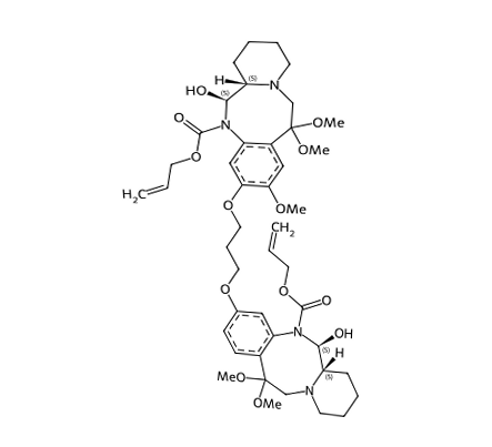 C=CCOC(=O)N1c2cc(OCCCOc3cc4c(cc3OC)C(OC)(OC)CN3CCCC[C@H]3[C@H](O)N4C(=O)OCC=C)ccc2C(OC)(OC)CN2CCCC[C@H]2[C@@H]1O